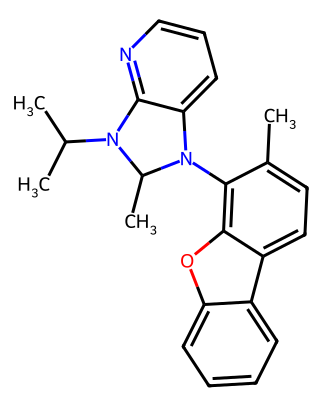 Cc1ccc2c(oc3ccccc32)c1N1c2cccnc2N(C(C)C)C1C